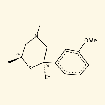 CC[C@@]1(c2cccc(OC)c2)CN(C)C[C@H](C)S1